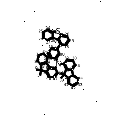 CC1(C)C2=C(CCC=C2)c2c(N(c3c#ccc(-c4cccc5sc6ccccc6c45)c3)c3cccc4c3C(C)(C)c3ccccc3-4)cccc21